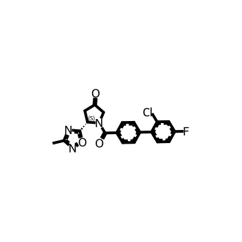 Cc1noc([C@@H]2CC(=O)CN2C(=O)c2ccc(-c3ccc(F)cc3Cl)cc2)n1